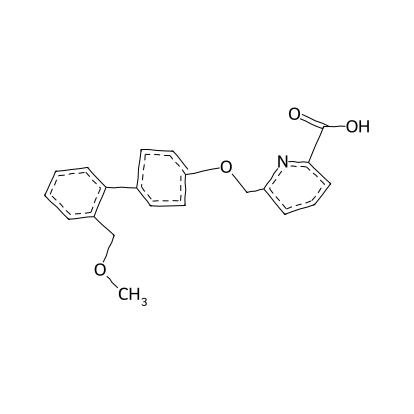 COCc1ccccc1-c1ccc(OCc2cccc(C(=O)O)n2)cc1